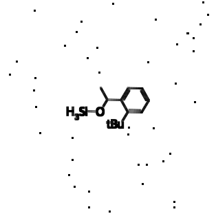 CC(O[SiH3])c1ccccc1C(C)(C)C